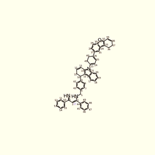 N=C(/C=C(\NCc1ccc(C2CC=Cc3c2c2ccccc2n3C2=CC=C(c3ccc4oc5c(c4c3)CCC=C5)CC2)cc1)c1ccccc1)c1ccccc1